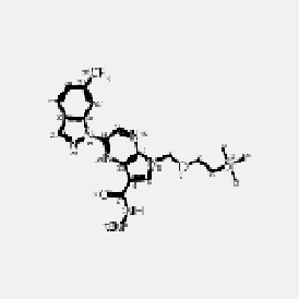 CC(C)(C)NC(=O)c1cn(COCC[Si](C)(C)C)c2ncc(-n3ncc4ccc(C(F)(F)F)cc43)nc12